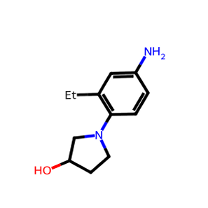 CCc1cc(N)ccc1N1CCC(O)C1